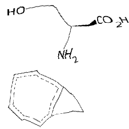 N[C@@H](CO)C(=O)O.c1ccc2c(c1)C2